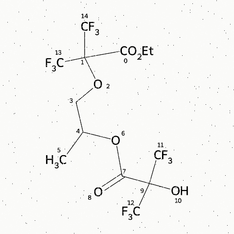 CCOC(=O)C(OCC(C)OC(=O)C(O)(C(F)(F)F)C(F)(F)F)(C(F)(F)F)C(F)(F)F